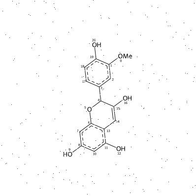 COc1cc(C2Oc3cc(O)cc(O)c3C=C2O)ccc1O